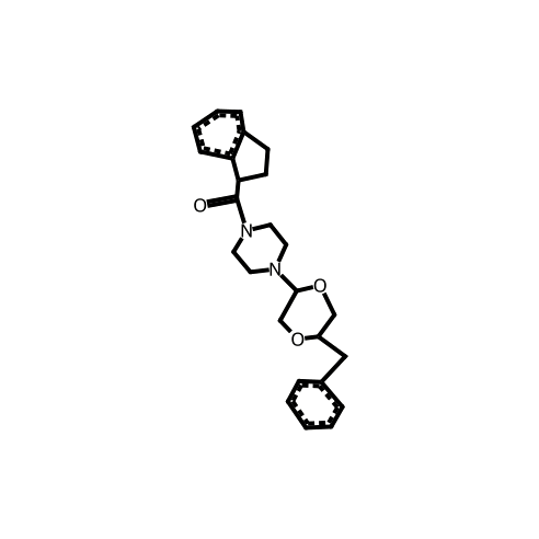 O=C(C1CCc2ccccc21)N1CCN(C2COC(Cc3ccccc3)CO2)CC1